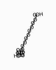 O=C(O)CCOCCOCCOCCOCCOCCOCCOCCOCCOCC(C(=O)O)(N1C(=O)CCC1=O)N1C(=O)CCC1=O